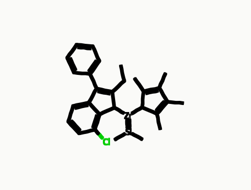 CCC1=C(c2ccccc2)c2cccc(Cl)c2[CH]1[Zr]([CH]1C(C)=C(C)C(C)=C1C)=[Si](C)C